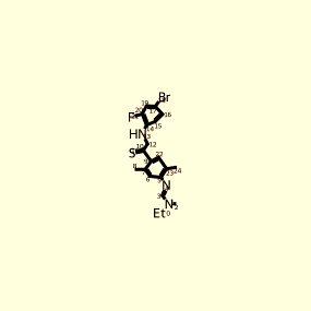 CCN(C)C=Nc1cc(C)c(C(=S)CNc2ccc(Br)cc2F)cc1C